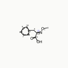 CO/N=C(\Cc1ccccc1)C(=O)O